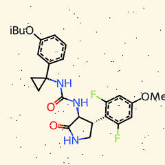 COc1cc(F)c([C@@H]2CNC(=O)[C@H]2NC(=O)NC2(c3cccc(OCC(C)C)c3)CC2)c(F)c1